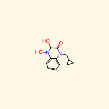 O=C1C(O)N(O)c2ccccc2N1CC1CC1